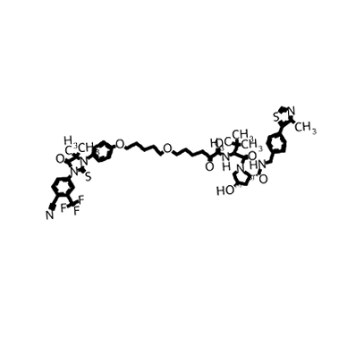 Cc1ncsc1-c1ccc(CNC(=O)[C@@H]2C[C@@H](O)CN2C(=O)C(NC(=O)C(=O)CCCCOCCCCCOc2ccc(N3C(=S)N(c4ccc(C#N)c(C(F)(F)F)c4)C(=O)C3(C)C)cc2)C(C)(C)C)cc1